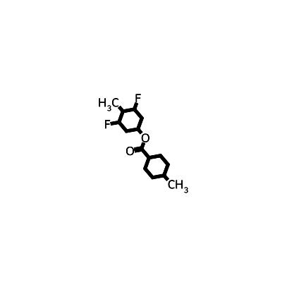 CC1CCC(C(=O)OC2CC(F)C(C)C(F)C2)CC1